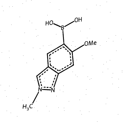 COc1cc2nn(C)cc2cc1B(O)O